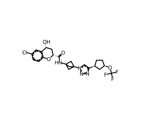 O=C(NC12CC(n3cc([C@H]4CC[C@@H](OC(F)(F)F)C4)nn3)(C1)C2)[C@H]1C[C@@H](O)c2cc(Cl)ccc2O1